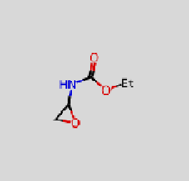 CCOC(=O)NC1CO1